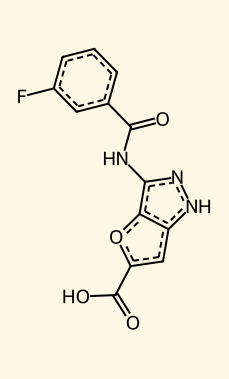 O=C(Nc1n[nH]c2cc(C(=O)O)oc12)c1cccc(F)c1